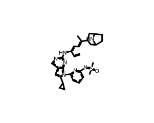 C=C/C(=C\C=C(/C)C1CC2CCC(C1)N2)Nc1ncc2cc(C3CC3)n(-c3cccc(N=S(C)(C)=O)n3)c2n1